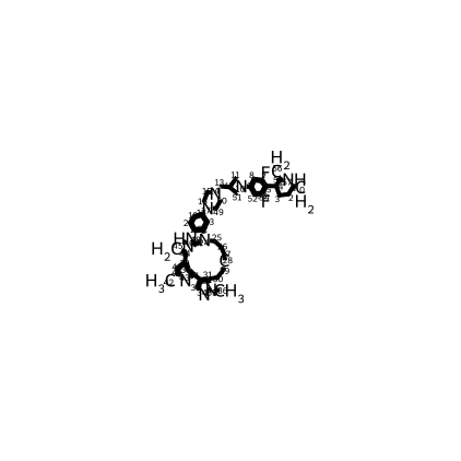 C=C1CCC(c2c(F)cc(N3CC(CN4CCN(c5ccc6c(c5)N5CCCCCCc7c(cnn7C)-c7cc(cc(C)n7)C(=C)/N=C/5N6)CC4)C3)cc2F)C(=C)N1